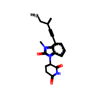 CC(C#Cc1cccc2c1n(C)c(=O)n2C1CCC(=O)NC1=O)CS(=O)(=O)O